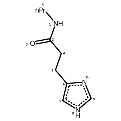 CCCNC(=O)CCc1c[nH]cn1